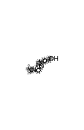 C[C@@H]1CN(c2ccccc2C[C@H]2CCN(c3ccc(C(C)(C)O)cc3)C2=O)C[C@H](C)N1C